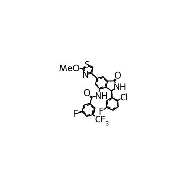 COc1nc(-c2cc(NC(=O)c3cc(F)cc(C(F)(F)F)c3)c3c(c2)C(=O)NC3c2cc(F)ccc2Cl)cs1